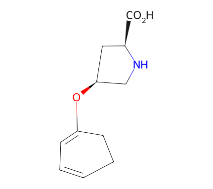 O=C(O)[C@@H]1C[C@H](OC2=CC=CCC2)CN1